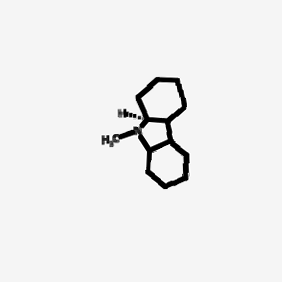 CN1C2CCCCC2C2CCCC[C@@H]21